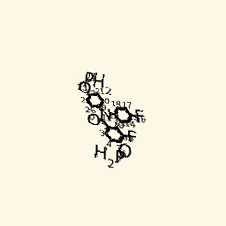 O=C(c1ccc(OP)c(F)c1)N(c1ccc(F)cc1)c1ccc(OP)cc1